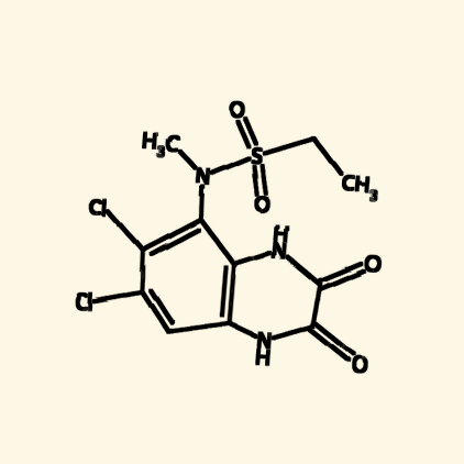 CCS(=O)(=O)N(C)c1c(Cl)c(Cl)cc2[nH]c(=O)c(=O)[nH]c12